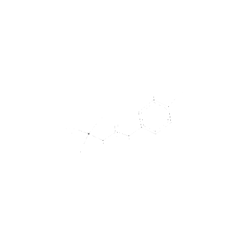 CCOC(=O)C(F)(F)CNCc1ccc(C(F)(F)F)cc1